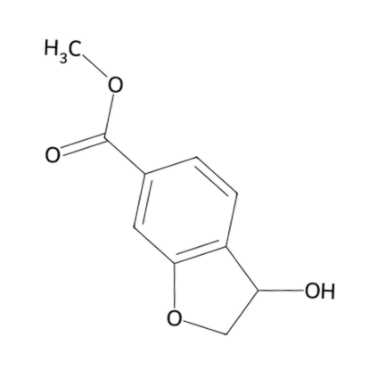 COC(=O)c1ccc2c(c1)OCC2O